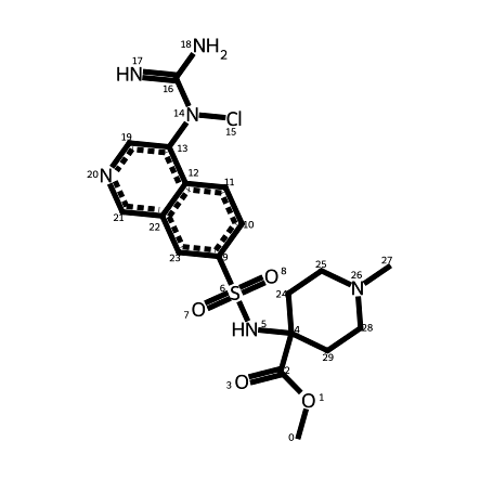 COC(=O)C1(NS(=O)(=O)c2ccc3c(N(Cl)C(=N)N)cncc3c2)CCN(C)CC1